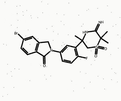 CC1(c2cc(N3Cc4cc(Br)ccc4C3=O)ccc2F)CS(=O)(=O)C(C)(C)C(=N)N1